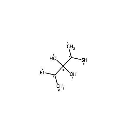 CCC(C)C(O)(O)C(C)S